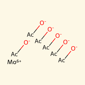 CC(=O)[O-].CC(=O)[O-].CC(=O)[O-].CC(=O)[O-].CC(=O)[O-].CC(=O)[O-].[Mo+6]